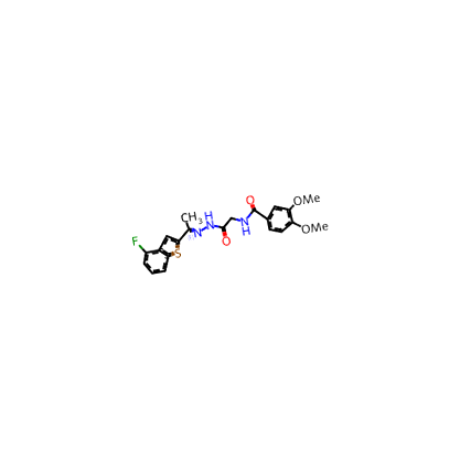 COc1ccc(C(=O)NCC(=O)N/N=C(\C)c2cc3c(F)cccc3s2)cc1OC